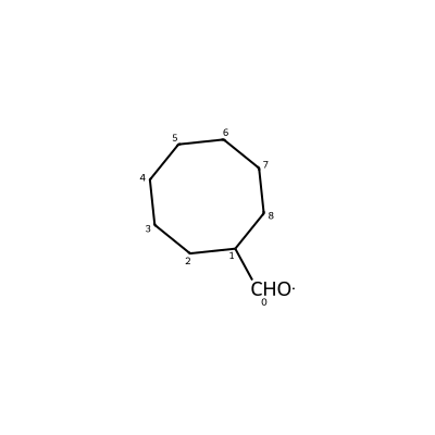 O=[C]C1CCCCCCC1